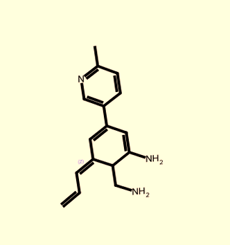 C=C/C=C1/C=C(c2ccc(C)nc2)C=C(N)C1CN